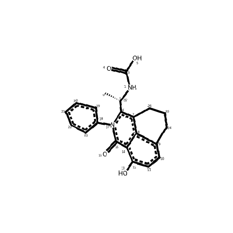 C[C@H](NC(=O)O)c1c2c3c(ccc(O)c3c(=O)n1-c1ccccc1)CCC2